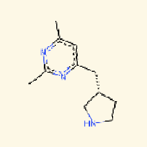 Cc1cc(C[C@@H]2CCNC2)nc(C)n1